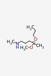 CCCO[Si](C)(CCCNC)OC